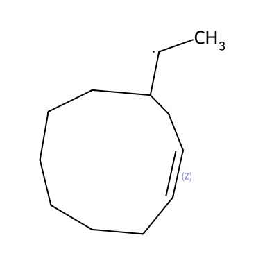 C[CH]C1C/C=C\CCCCCC1